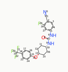 N#Cc1ccc(NC(=O)N[C@H]2CC[C@H](Oc3ccc(C(F)(F)F)cc3)CC2)cc1F